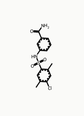 Cc1cc(S(=O)(=O)Nc2cccc(C(N)=O)c2)c(C)cc1Cl